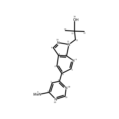 CNc1cc(-c2cnc3c(cnn3CC(C)(C)O)c2)ncn1